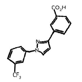 O=C(O)c1cccc(-c2ccn(-c3cccc(C(F)(F)F)c3)n2)c1